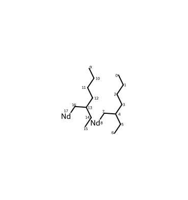 CCCCC(CC)[CH2][Nd].CCCCC(CC)[CH2][Nd]